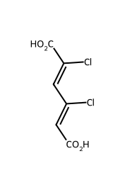 O=C(O)C=C(Cl)C=C(Cl)C(=O)O